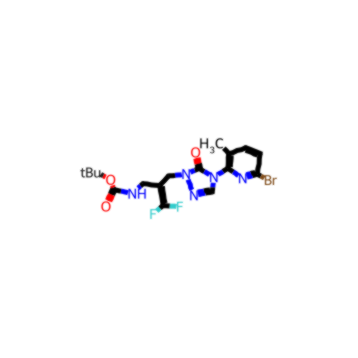 Cc1ccc(Br)nc1-n1cnn(CC(CNC(=O)OC(C)(C)C)=C(F)F)c1=O